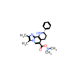 Cc1nc2c3c(c(C(=O)ON(C)C)cn2c1C)CC[C@@H](c1ccccc1)N3